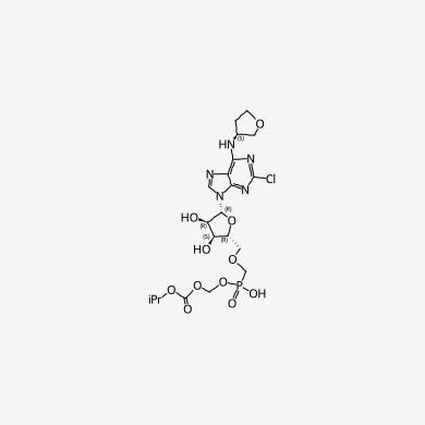 CC(C)OC(=O)OCOP(=O)(O)COC[C@H]1O[C@@H](n2cnc3c(N[C@H]4CCOC4)nc(Cl)nc32)[C@H](O)[C@@H]1O